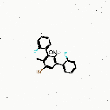 COc1c(-c2ccccc2F)cc(Br)c(C)c1-c1ccccc1F